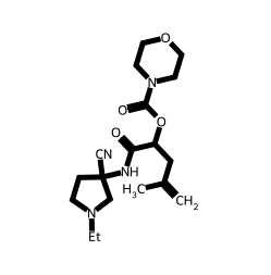 C=C(C)CC(OC(=O)N1CCOCC1)C(=O)NC1(C#N)CCN(CC)C1